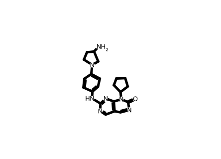 NC1CCN(c2ccc(Nc3ncc4cnc(=O)n(C5CCCC5)c4n3)cc2)C1